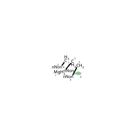 Br.CCCCCCCCCC.CCCCCCCCCC.CCCCCCCCCC.[MgH2]